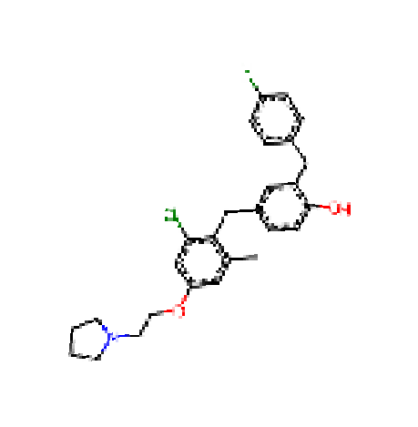 Cc1cc(OC[CH]N2CCCC2)cc(Cl)c1Cc1ccc(O)c(Cc2ccc(F)cc2)c1